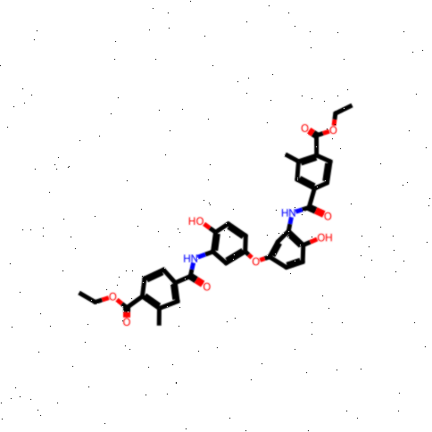 CCOC(=O)c1ccc(C(=O)Nc2cc(Oc3ccc(O)c(NC(=O)c4ccc(C(=O)OCC)c(C)c4)c3)ccc2O)cc1C